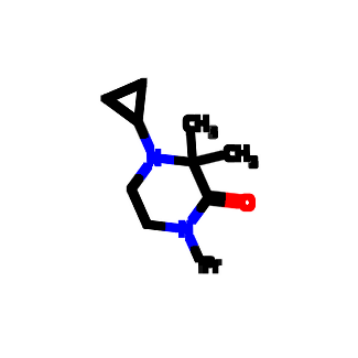 CC(C)N1CCN(C2CC2)C(C)(C)C1=O